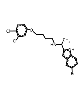 CC(NCCCCOc1ccc(Cl)c(Cl)c1)c1cc2cc(Br)ccc2[nH]1